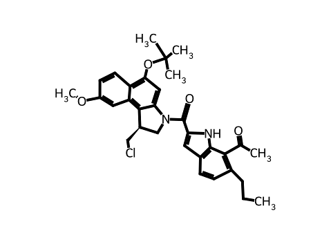 CCCc1ccc2cc(C(=O)N3C[C@@H](CCl)c4c3cc(OC(C)(C)C)c3ccc(OC)cc43)[nH]c2c1C(C)=O